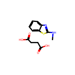 CNc1nc2ccccc2s1.O=C(O)CCC(=O)O